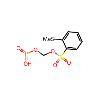 CSc1ccccc1S(=O)(=O)OCO[PH](=O)O